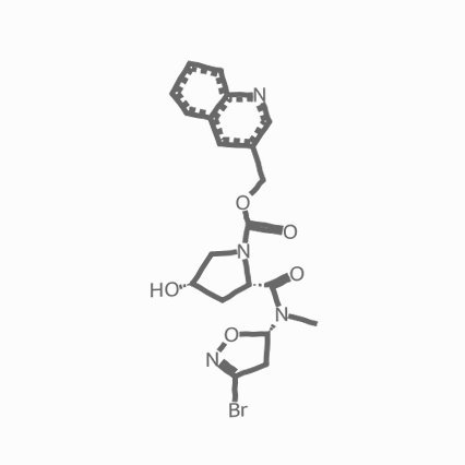 CN(C(=O)[C@@H]1C[C@H](O)CN1C(=O)OCc1cnc2ccccc2c1)[C@@H]1CC(Br)=NO1